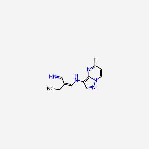 Cc1ccn2ncc(N/C=C(\C=N)CC#N)c2n1